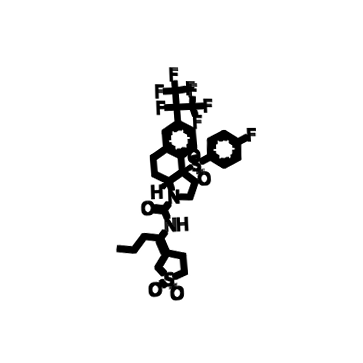 CCC/C(NC(=O)N1CC[C@@]2(S(=O)(=O)c3ccc(F)cc3)c3ccc(C(F)(C(F)(F)F)C(F)(F)F)cc3CC[C@@H]12)=C1/CCS(=O)(=O)C1